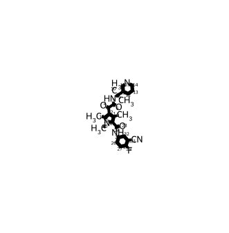 Cc1c(C(=O)C(=O)NC(C)(C)c2cccnc2)c(C)n(C)c1C(=O)Nc1ccc(F)c(C#N)c1